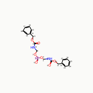 O=C(NCO[PH](=O)OCNC(=O)OCc1ccccc1)OCc1ccccc1